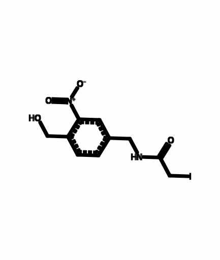 O=C(CI)NCc1ccc(CO)c([N+](=O)[O-])c1